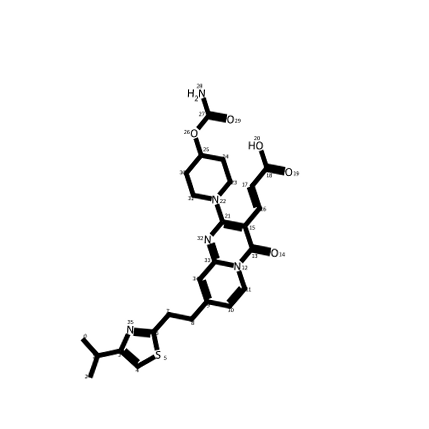 CC(C)c1csc(CCc2ccn3c(=O)c(/C=C/C(=O)O)c(N4CCC(OC(N)=O)CC4)nc3c2)n1